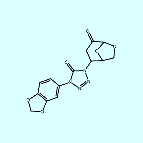 O=C1CC(n2nnn(-c3ccc4c(c3)OCO4)c2=S)C2COC1O2